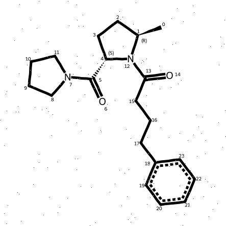 C[C@@H]1CC[C@@H](C(=O)N2CCCC2)N1C(=O)CCCc1ccccc1